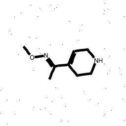 CO/N=C(\C)C1=CCNCC1